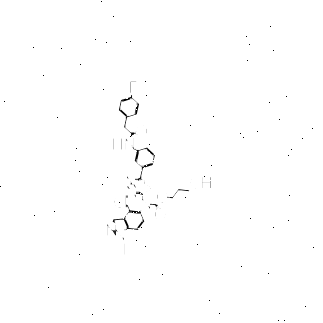 CCCCOC(=O)N(c1nnc(-c2cccc(NC(=O)Cc3ccc(F)cc3)c2)s1)c1ccc2[nH]ncc2c1Cl